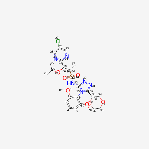 COc1cccc(OC)c1-n1c(NS(=O)(=O)[C@@H](C)[C@@H](OC(C)C)c2ncc(Cl)cn2)nnc1[C@H]1COCCO1